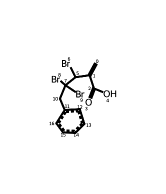 C=C(C(=O)O)C(Br)C(Br)(Br)Cc1ccccc1